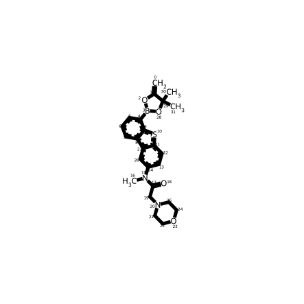 C=C1OB(c2cccc3c2sc2ccc(N(C)C(=O)CN4CCOCC4)cc23)OC1(C)C